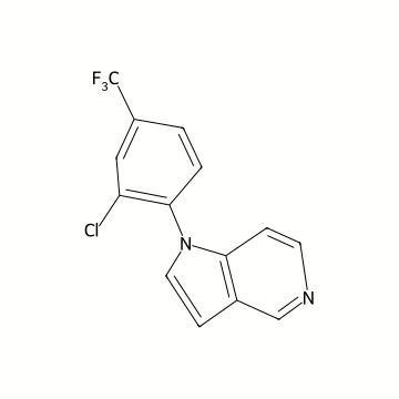 FC(F)(F)c1ccc(-n2ccc3cnccc32)c(Cl)c1